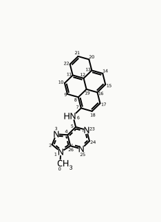 Cn1cnc2c(NC3=C4C=CC5=C6C(=CC=C(C=C3)C46)CC=C5)ncnc21